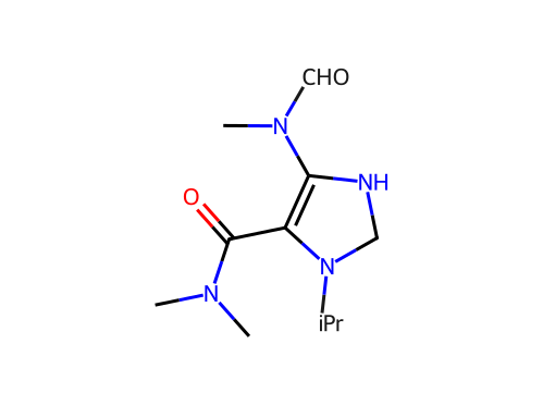 CC(C)N1CNC(N(C)C=O)=C1C(=O)N(C)C